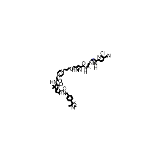 Cc1ncsc1-c1ccc(CNC(=O)[C@@H]2CCC3N2C(=O)[C@@H](NC(=O)CN2CCN(CCCOCc4cc(C(=O)N[C@@H](C)CN/C=C\C(=N)c5ccc(C#N)c(Cl)n5)n[nH]4)CC2)C3(C)C)cc1